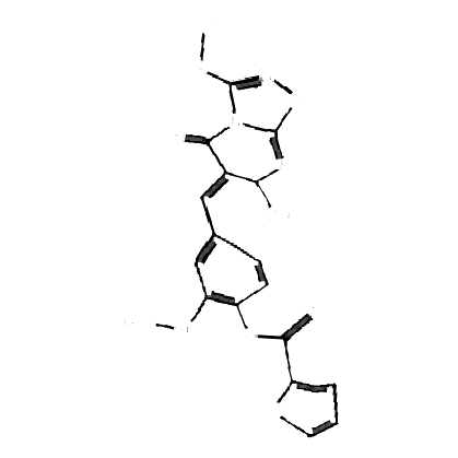 COc1cc(/C=C2/C(=N)N3C(SC)=NSC3=NC2O)ccc1OC(=O)c1ccco1